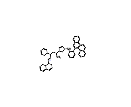 NC(CC(/C=C/C1CC=CC2=CC=CCC21)C1C=CC=CC1)C1C=CC(NC2C=CC=CC2c2cc3ccccc3c3ccc4ccccc4c23)C1